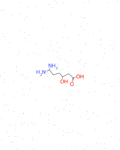 NC(N)CCC(O)CC(=O)O